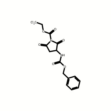 O=C(NC1CC(=O)N(C(=O)OCC(Cl)(Cl)Cl)C1=O)OCc1ccccc1